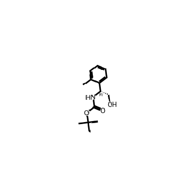 Cc1ccccc1[C@H](CO)NC(=O)OC(C)(C)C